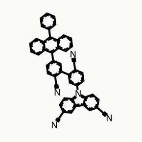 N#Cc1ccc2c(c1)c1cc(C#N)ccc1n2-c1ccc(C#N)c(-c2cc(-c3c4ccccc4c(-c4ccccc4)c4ccccc34)ccc2C#N)c1